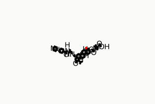 CC(C)C1=C2[C@H]3CC[C@@H]4[C@@]5(C)CC[C@H](OC(=O)[C@H]6C[C@@H](C(=O)O)C6(C)C)C(C)(C)[C@@H]5CC[C@@]4(C)[C@]3(C)CC[C@@]2(CCNCC(C)(C)NC(=O)c2ccc(N3CCN(C)CC3)cc2)CC1=O